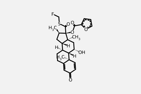 C[C@@H]1C[C@H]2[C@@H]3CCC4=CC(=O)C=C[C@]4(C)[C@H]3[C@@H](O)C[C@]2(C)[C@@]1(OC(=O)c1ccco1)C(=O)SCF